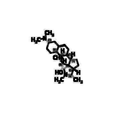 C[C@H]1[C@H]2CC[C@H]3[C@@H]4CC=C5C[C@@H](N(C)C)CC[C@]5(C)[C@H]4C[C@@H](O)[C@]23CN1C